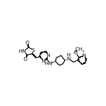 COc1ncccc1CN[C@H]1CC[C@H](Nc2nccc(/C=C3\SC(=O)NC3=O)n2)CC1